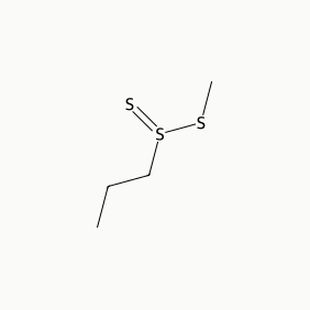 CCCS(=S)SC